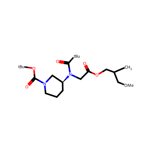 COCC(C)COC(=O)CN(C(=O)C(C)(C)C)[C@H]1CCCN(C(=O)OC(C)(C)C)C1